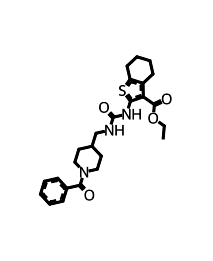 CCOC(=O)c1c(NC(=O)NCC2CCN(C(=O)c3ccccc3)CC2)sc2c1CCCC2